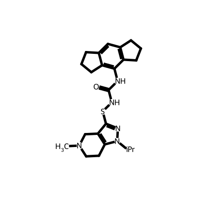 CC(C)n1nc(SNC(=O)Nc2c3c(cc4c2CCC4)CCC3)c2c1CCN(C)C2